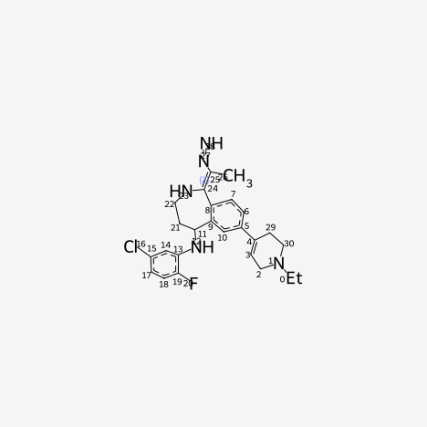 CCN1CC=C(c2ccc3c(c2)C(Nc2cc(Cl)ccc2F)CCN/C3=C(/C)N=N)CC1